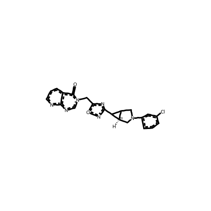 O=c1c2cccnc2ncn1Cc1nc(C2C3CN(c4cccc(Cl)c4)C[C@H]32)no1